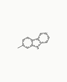 Cc1ccc2c(c1)sc1cc[c]cc12